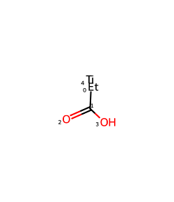 CCC(=O)O.[Ti]